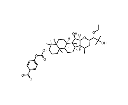 CCO[C@@H]([C@H]1C[C@@H](C)[C@H]2[C@H](O1)[C@H](O)[C@@]1(C)[C@@H]3CC[C@H]4C(C)(C)[C@@H](OC(=O)Oc5ccc([N+](=O)[O-])cc5)CCC4(C)[C@]3(C)CC[C@]21C)C(C)(C)O